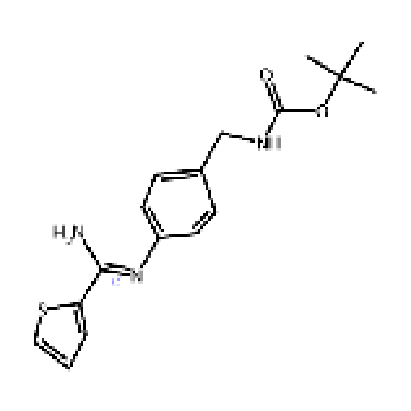 CC(C)(C)OC(=O)NCc1ccc(/N=C(\N)c2cccs2)cc1